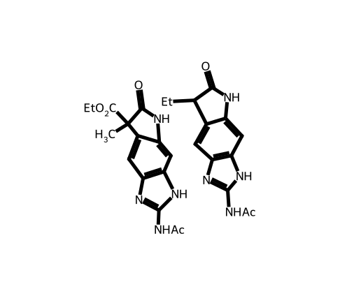 CCC1C(=O)Nc2cc3[nH]c(NC(C)=O)nc3cc21.CCOC(=O)C1(C)C(=O)Nc2cc3[nH]c(NC(C)=O)nc3cc21